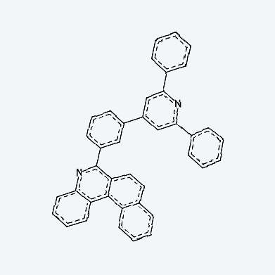 c1ccc(-c2cc(-c3cccc(-c4nc5ccccc5c5c4ccc4ccccc45)c3)cc(-c3ccccc3)n2)cc1